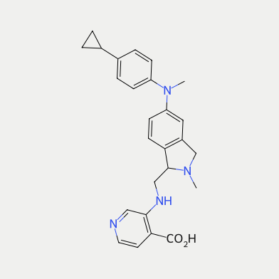 CN(c1ccc(C2CC2)cc1)c1ccc2c(c1)CN(C)C2CNc1cnccc1C(=O)O